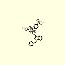 O=C(O)CN(CCc1cn(Cc2ccccc2)c2ccccc12)S(=O)(=O)c1ccc([N+](=O)[O-])cc1